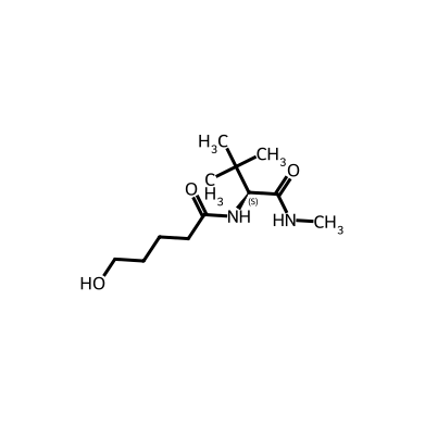 CNC(=O)[C@@H](NC(=O)CCCCO)C(C)(C)C